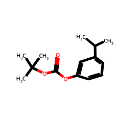 CC(C)c1c[c]cc(OC(=O)OC(C)(C)C)c1